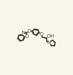 OC(COc1ccc(Oc2nc3ccccc3o2)cc1)CN1CCCC1